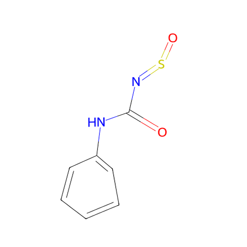 O=S=NC(=O)Nc1ccccc1